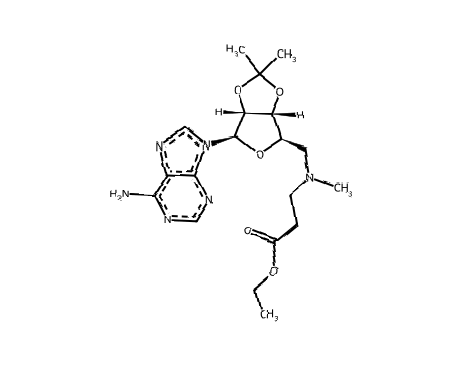 CCOC(=O)CCN(C)C[C@H]1O[C@@H](n2cnc3c(N)ncnc32)[C@@H]2OC(C)(C)O[C@@H]21